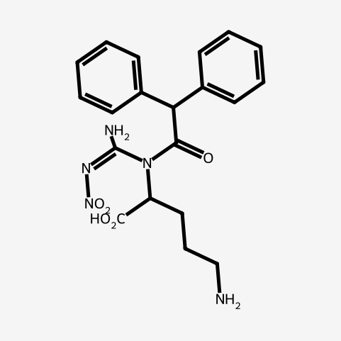 NCCCC(C(=O)O)N(C(=O)C(c1ccccc1)c1ccccc1)/C(N)=N\[N+](=O)[O-]